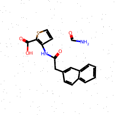 NC=O.O=C(Cc1ccc2ccccc2c1)Nc1ccsc1C(=O)O